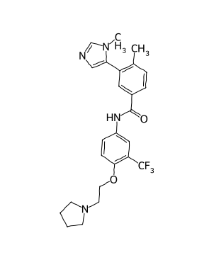 Cc1ccc(C(=O)Nc2ccc(OCCN3CCCC3)c(C(F)(F)F)c2)cc1-c1cncn1C